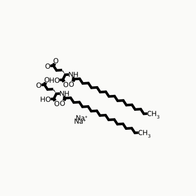 CCCCCCCCCCCCCCCCCC(=O)N[C@@H](CCC(=O)[O-])C(=O)O.CCCCCCCCCCCCCCCCCC(=O)N[C@@H](CCC(=O)[O-])C(=O)O.[Na+].[Na+]